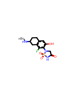 CCCCNC1CCc2cc(O)c(N3CC(=O)NS3(=O)=O)c(F)c2C1